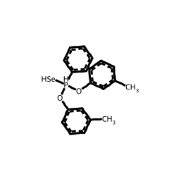 Cc1cccc(O[PH]([SeH])(Oc2cccc(C)c2)c2ccccc2)c1